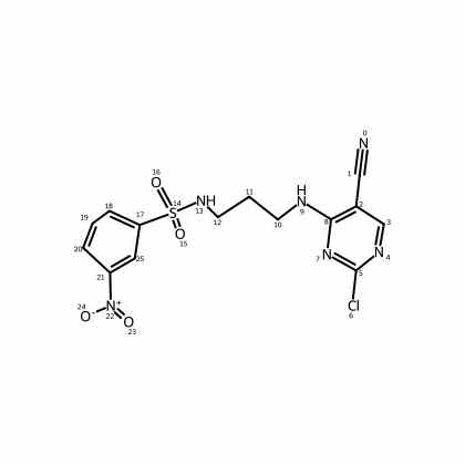 N#Cc1cnc(Cl)nc1NCCCNS(=O)(=O)c1cccc([N+](=O)[O-])c1